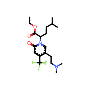 CCOC(=O)C(CCC(C)C)n1cc(CCN(C)C)c(C(F)(F)F)cc1=O